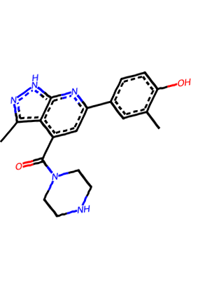 Cc1cc(-c2cc(C(=O)N3CCNCC3)c3c(C)n[nH]c3n2)ccc1O